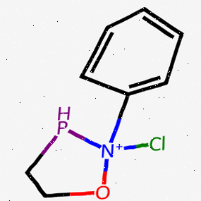 Cl[N+]1(c2ccccc2)OCCP1